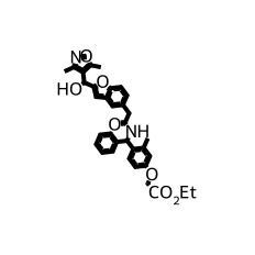 CCOC(=O)COc1ccc(C(NC(=O)Cc2ccc3oc(C(O)c4c(C)noc4C)cc3c2)c2ccccc2)c(C)c1